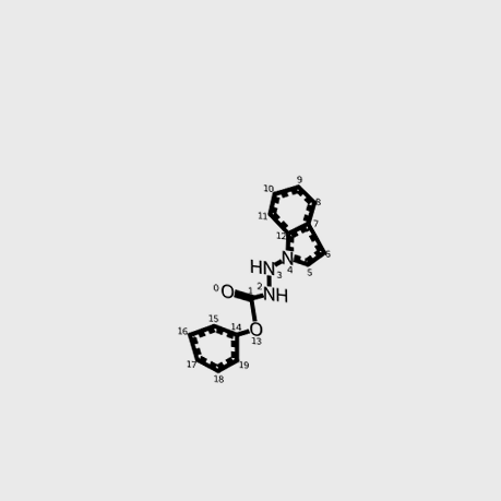 O=C(NNn1ccc2ccccc21)Oc1ccccc1